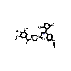 CCOc1ccc(/C(=C\C(=O)N2CCN(C(=O)c3cc(OC)c(OC)c(OC)c3)CC2)c2cc(Cl)ccc2Cl)cc1